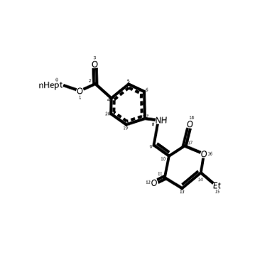 CCCCCCCOC(=O)c1ccc(NC=C2C(=O)C=C(CC)OC2=O)cc1